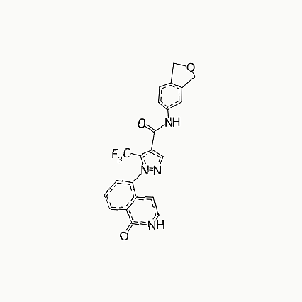 O=C(Nc1ccc2c(c1)COC2)c1cnn(-c2cccc3c(=O)[nH]ccc23)c1C(F)(F)F